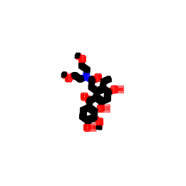 CCc1c(O)cc(O)c(C(=O)c2ccc(O)c(OC)c2)c1CC(=O)N(CCOC)CCOC